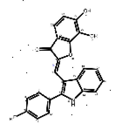 O=C1/C(=C/c2c(-c3ccc(F)cc3)[nH]c3ccccc23)Oc2c1ccc(O)c2O